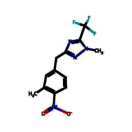 Cc1cc(Cc2nc(C(F)(F)F)n(C)n2)ccc1[N+](=O)[O-]